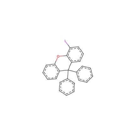 Ic1cccc2c1Oc1ccccc1C2(c1ccccc1)c1ccccc1